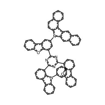 c1ccc(-n2c3ccccc3c3cccc(-c4nc(-c5cccc6c5oc5ccccc56)nc(-c5cc(-n6c7cc8ccccc8cc7c7c8ccccc8ccc76)cc6c5oc5ccccc56)n4)c32)cc1